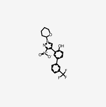 O=[N+]([O-])c1nn(C2CCCCO2)cc1-c1cc(-c2cccc(C(F)(F)F)c2)ccc1O